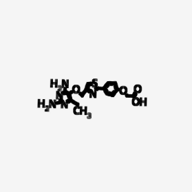 CCc1nc(N)nc(N)c1OCc1csc(-c2ccc(OCC(=O)O)cc2)n1